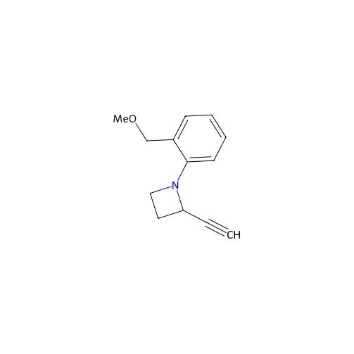 C#CC1CCN1c1ccccc1COC